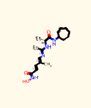 CC\C(=N/C=C(C)/C=C/C(=O)NO)N[C@H](CC)C(=O)NC1CCCCCC1